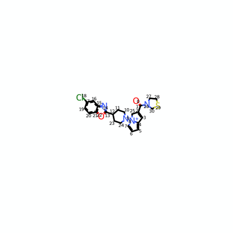 O=C(C1=CC2=CC=C[N@@+]2(N2CCC(c3nc4cc(Cl)ccc4o3)CC2)C1)N1CCSC1